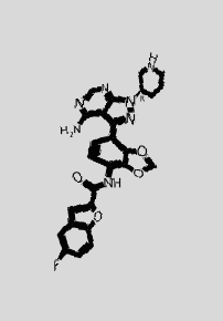 Nc1ncnc2c1c(-c1ccc(NC(=O)c3cc4cc(F)ccc4o3)c3c1OCO3)nn2[C@@H]1CCCNC1